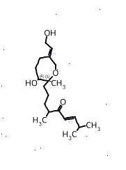 CC(C)/C=C/C(=O)C(C)CCC[C@]1(C)OC/C(=C/CO)CC[C@H]1O